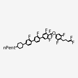 CCCCCC1CCC(c2ccc(-c3ccc(-c4cc(F)c(C(F)(F)Oc5cc(F)c(CCC=C(F)F)c(F)c5)c(F)c4)c(F)c3)c(F)c2)CC1